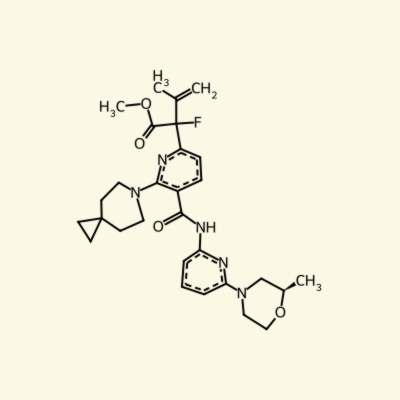 C=C(C)C(F)(C(=O)OC)c1ccc(C(=O)Nc2cccc(N3CCO[C@H](C)C3)n2)c(N2CCC3(CC2)CC3)n1